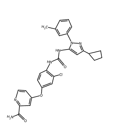 Cc1cccc(-n2nc(C3CCC3)cc2NC(=O)Nc2ccc(Oc3ccnc(C(N)=O)c3)cc2Cl)c1